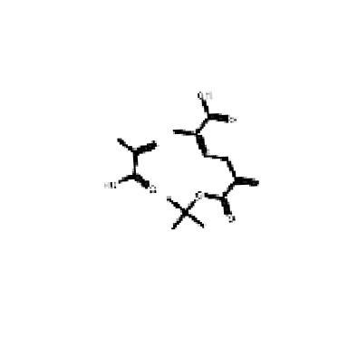 C=C(C)C(=O)O.C=C(CC=C(C)C(=O)O)C(=O)OC(C)(C)C